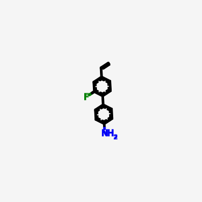 C=Cc1ccc(-c2ccc(N)cc2)c(F)c1